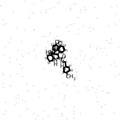 Cc1ccc(CNC(=O)[C@@H]2NC3(CCCCC3)[C@@]3(C(=O)Nc4cc(Cl)ccc43)[C@H]2c2cccc(Cl)c2F)cc1